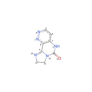 O=C1Nc2ccnnc2C2=NCCN12